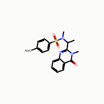 COc1ccc(S(=O)(=O)N(C)C(C)c2nc3ccccc3c(=O)n2C)cc1